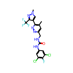 Cc1cc(CNC(=O)Nc2cc(Cl)c(F)c(Cl)c2)nnc1-c1cn(C)nc1C(F)(F)F